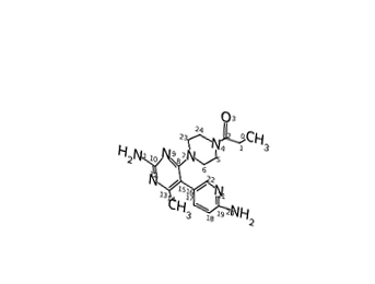 CCC(=O)N1CCN(c2nc(N)nc(C)c2-c2ccc(N)nc2)CC1